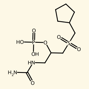 NC(=O)NCC(CS(=O)(=O)CC1CCCC1)OP(=O)(O)O